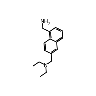 CCN(CC)Cc1ccc2c(CN)cccc2c1